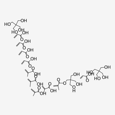 C=C(C)C(=O)O.C=C(C)C(=O)O.C=C(C)C(=O)O.C=C(C)C(=O)O.C=C(C)C(=O)OCC(CO)(CO)CO.C=CC(=O)O.C=CC(=O)O.C=CC(=O)O.C=CC(=O)O.C=CC(=O)O.OCC(CO)(CO)CO.OCC(CO)(CO)CO